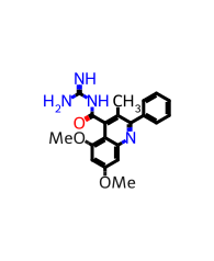 COc1cc(OC)c2c(C(=O)NC(=N)N)c(C)c(-c3ccccc3)nc2c1